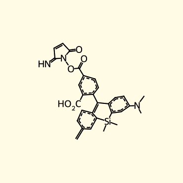 C=c1ccc2c(c1)[Si](C)(C)c1cc(N(C)C)ccc1C=2c1ccc(C(=O)ON2C(=N)C=CC2=O)cc1C(=O)O